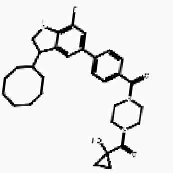 O=C(c1ccc(-c2cc(F)c3c(c2)C(C2CCCCCCC2)CN3)cc1)N1CCN(C(=O)C2(O)CC2)CC1